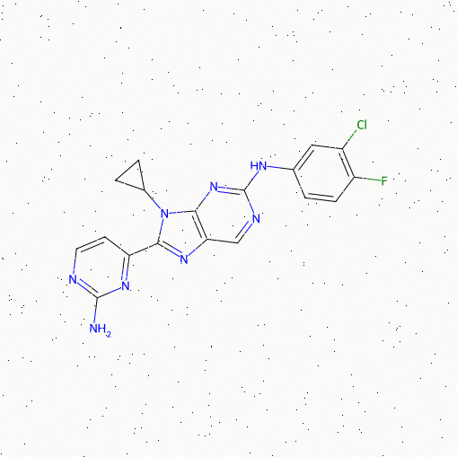 Nc1nccc(-c2nc3cnc(Nc4ccc(F)c(Cl)c4)nc3n2C2CC2)n1